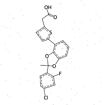 CC1(c2ccc(Cl)cc2F)Oc2cccc(-c3ccc(CC(=O)O)s3)c2O1